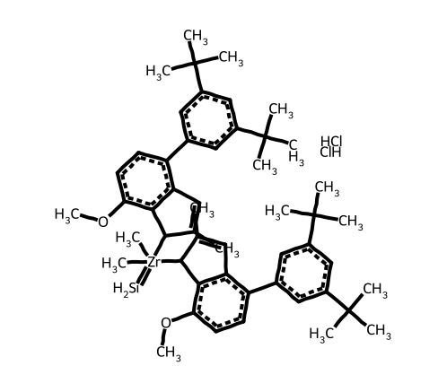 COc1ccc(-c2cc(C(C)(C)C)cc(C(C)(C)C)c2)c2c1[CH]([Zr]([CH3])([CH3])(=[SiH2])[CH]1C(C)=Cc3c(-c4cc(C(C)(C)C)cc(C(C)(C)C)c4)ccc(OC)c31)C(C)=C2.Cl.Cl